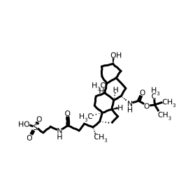 C[C@H](CCC(=O)NCCS(=O)(=O)O)[C@H]1CC[C@H]2[C@@H]3[C@@H](NC(=O)OC(C)(C)C)CC4C[C@H](O)CC[C@]4(C)[C@H]3CC[C@]12C